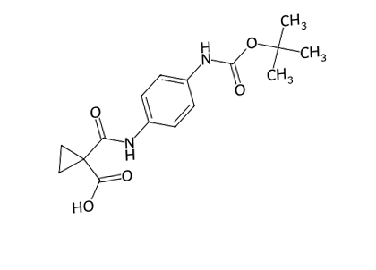 CC(C)(C)OC(=O)Nc1ccc(NC(=O)C2(C(=O)O)CC2)cc1